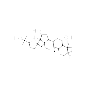 CC(C)(O)C1CC[C@@]2(C[C@]34CC[C@@]56C[C@@]57CCC(F)(F)C(C)(C)[C@@H]7[C@@H](O)C[C@H]6[C@]3(C)C[C@H](O)[C@H]24)O1